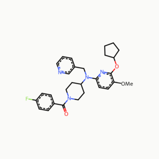 COc1ccc(N(Cc2cccnc2)C2CCN(C(=O)c3ccc(F)cc3)CC2)nc1OC1CCCC1